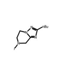 CCCCc1nc2n(n1)CCN(I)C2